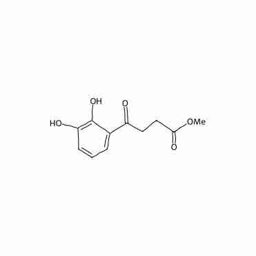 COC(=O)CCC(=O)c1cccc(O)c1O